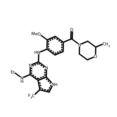 CCNc1nc(Nc2ccc(C(=O)N3CCOC(C)C3)cc2OC)nc2[nH]cc(C(F)(F)F)c12